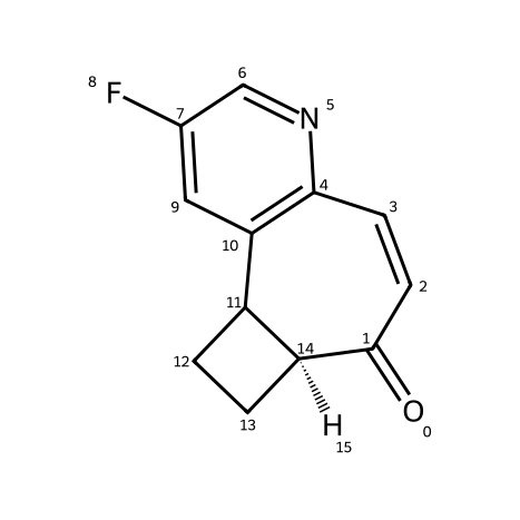 O=C1C=Cc2ncc(F)cc2C2CC[C@H]12